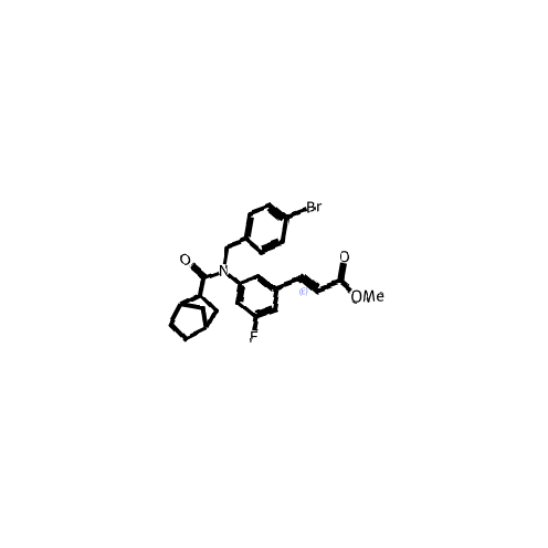 COC(=O)/C=C/c1cc(F)cc(N(Cc2ccc(Br)cc2)C(=O)C2CC3CCC2C3)c1